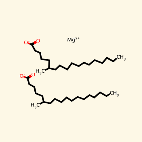 CCCCCCCCCCCCC(C)CCCCC(=O)[O-].CCCCCCCCCCCCC(C)CCCCC(=O)[O-].[Mg+2]